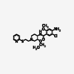 COc1cc(N)c(Cl)cc1C(=O)NC1CCN(CCSc2ccccn2)CC1OC.O